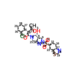 C[C@@H](O)[C@H](C(=O)N1Cc2cn(S(=O)(=O)c3ccc4ncsc4c3)nc2C1)c1ccccc1Cl